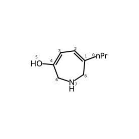 CCCC1=CC=C(O)CNC1